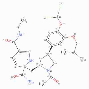 CCNC(=O)C1=CNC(C[C@H]2C[C@@H](c3ccc(OC(F)F)c(OCC(C)C)c3)CN2C(C)=O)(C(N)=O)C=C1